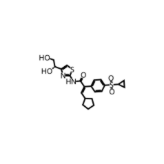 O=C(Nc1nc([C@@H](O)CO)cs1)/C(=C/C1CCCC1)c1ccc(S(=O)(=O)C2CC2)cc1